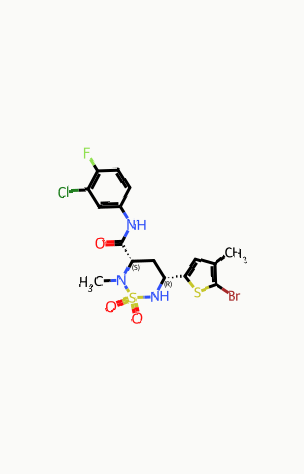 Cc1cc([C@H]2C[C@@H](C(=O)Nc3ccc(F)c(Cl)c3)N(C)S(=O)(=O)N2)sc1Br